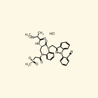 CN[C@@H](C)C(=O)N[C@H]1CN(C(=O)CS(C)(=O)=O)c2ccccc2N(Cc2nn(-c3ccccc3C#N)c3ccccc23)C1=O.Cl